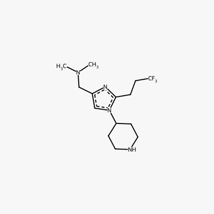 CN(C)Cc1cn(C2CCNCC2)c(CCC(F)(F)F)n1